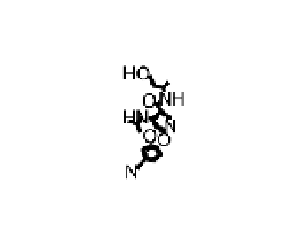 CC(C)Nc1c(C(=O)NC(C)CCO)cnc2c1Oc1cc(C#N)ccc1O2